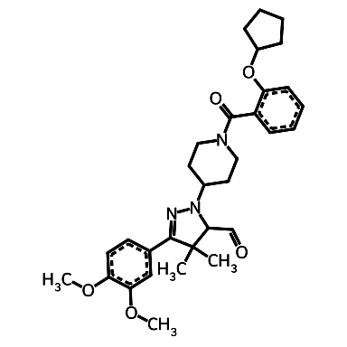 COc1ccc(C2=NN(C3CCN(C(=O)c4ccccc4OC4CCCC4)CC3)C(C=O)C2(C)C)cc1OC